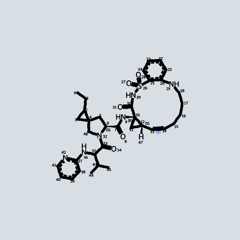 CCC1CC12C[C@@H](C(=O)N[C@]13C[C@H]1/C=C\CCCCNc1ccccc1S(=O)(=O)NC3=O)N(C(=O)C(Nc1ccccn1)C(C)C)C2